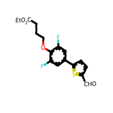 CCOC(=O)CCCOc1c(F)cc(-c2ccc(C=O)s2)cc1F